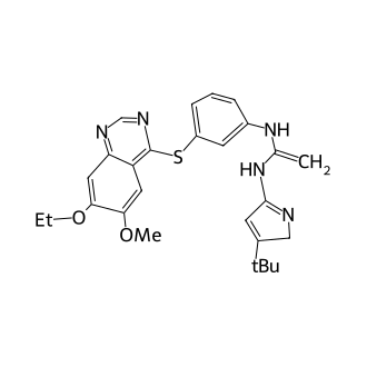 C=C(NC1=NCC(C(C)(C)C)=C1)Nc1cccc(Sc2ncnc3cc(OCC)c(OC)cc23)c1